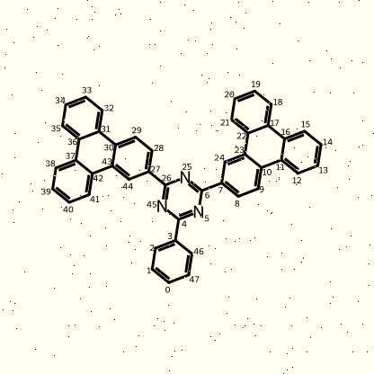 c1ccc(-c2nc(-c3ccc4c5ccccc5c5ccccc5c4c3)nc(-c3ccc4c5ccccc5c5ccccc5c4c3)n2)cc1